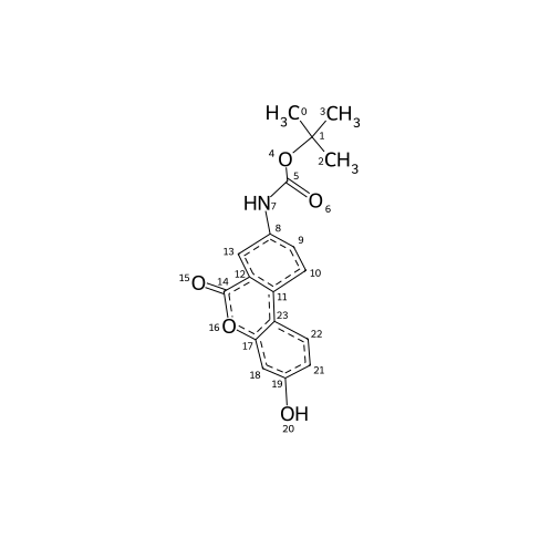 CC(C)(C)OC(=O)Nc1ccc2c(c1)c(=O)oc1cc(O)ccc12